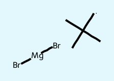 [Br][Mg][Br].[CH2]C(C)(C)C